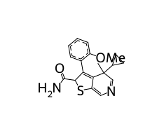 COc1ccccc1C1=C2C(=CN=CC2(C)C2CC2)SC1C(N)=O